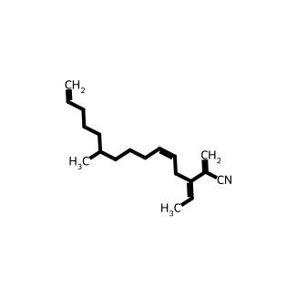 C=CCCCC(C)CCC/C=C\C/C(=C\C)C(=C)C#N